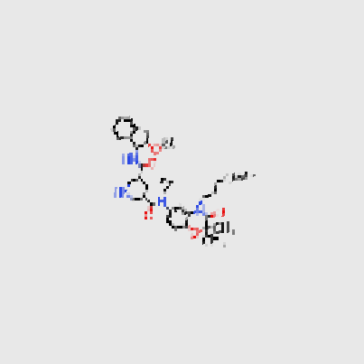 CCO[C@@H]1Cc2ccccc2[C@@H]1NC(=O)[C@@H]1CNC[C@H](C(=O)N(c2ccc3c(c2)N(CCCOC)C(=O)C(C)(C)O3)C2CC2)C1